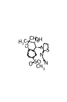 CC1(C)Oc2ccc(S(C)(=O)=O)cc2[C@H](N2CCSC2=NC#N)[C@H]1O